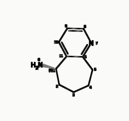 N[C@H]1CCCCc2ncccc21